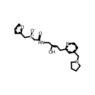 O=C(C[S+]([O-])Cc1ccco1)NCC(O)=CCc1cc(CN2CCCC2)ccn1